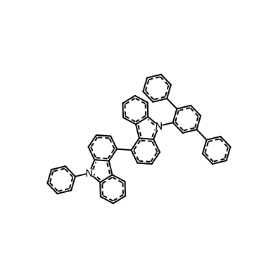 c1ccc(-c2ccc(-c3ccccc3)c(-n3c4ccccc4c4c(-c5cccc6c5c5ccccc5n6-c5ccccc5)cccc43)c2)cc1